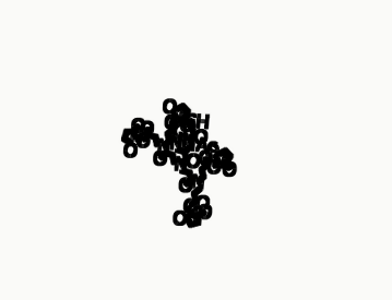 C#CC(=O)NCC(CNC(C)=O)C(=O)N(CCC(=O)N(CCC(=O)ON1C(=O)CCC1=O)CCC(=O)ON1C(=O)CCC1=O)CCC(=O)N(CCC(=O)ON1C(=O)CCC1=O)CCC(=O)ON1C(=O)CCC1=O